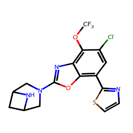 FC(F)(F)Oc1c(Cl)cc(-c2nccs2)c2oc(N3CC4CC(C3)N4)nc12